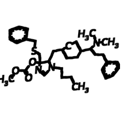 CCCCN1C=NC(CSCc2ccccc2)(OC(=O)OC)C1CC1CCC(C(CCc2ccccc2)N(C)C)CC1